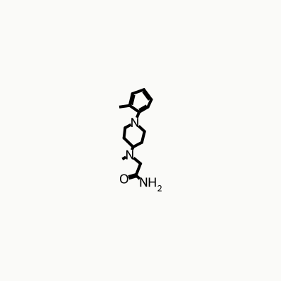 Cc1ccccc1N1CCC(N(C)CC(N)=O)CC1